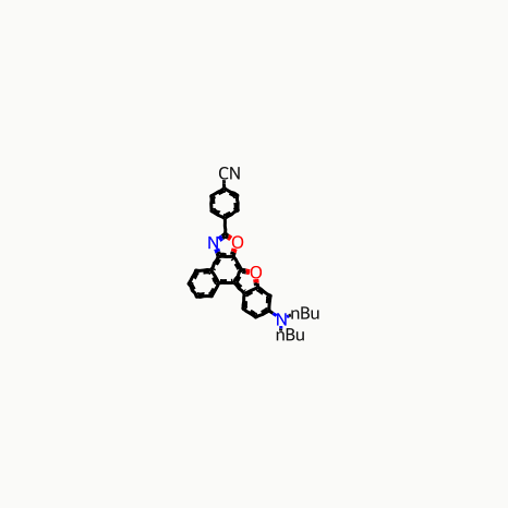 CCCCN(CCCC)c1ccc2c(c1)oc1c3oc(-c4ccc(C#N)cc4)nc3c3ccccc3c21